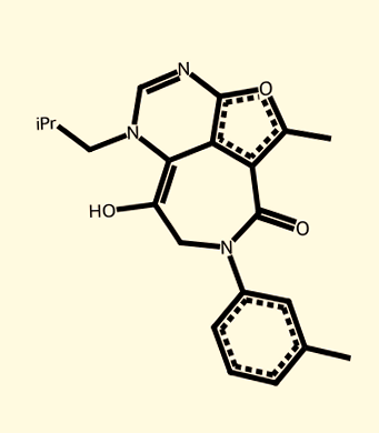 Cc1cccc(N2CC(O)=C3c4c(oc(C)c4C2=O)N=CN3CC(C)C)c1